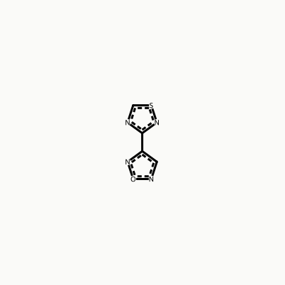 c1nc(-c2cnon2)ns1